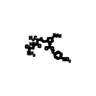 CC(=O)SC1CC(CSC(C)C(=O)NCC(N)=O)N(C(=O)OCc2ccc([N+](=O)[O-])cc2)C1